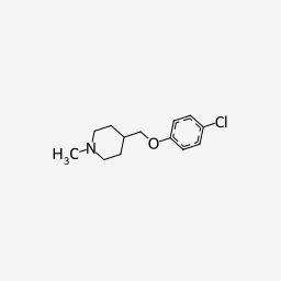 CN1CCC(COc2ccc(Cl)cc2)CC1